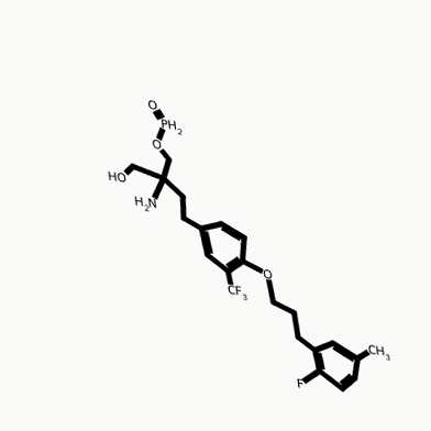 Cc1ccc(F)c(CCCOc2ccc(CCC(N)(CO)CO[PH2]=O)cc2C(F)(F)F)c1